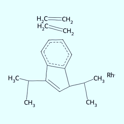 C=C.C=C.CC(C)C1=CC(C(C)C)c2ccccc21.[Rh]